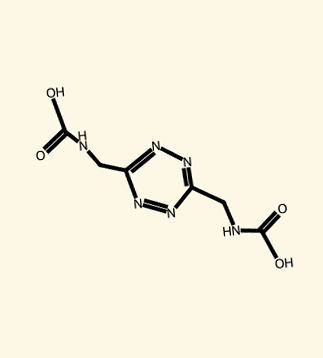 O=C(O)NCc1nnc(CNC(=O)O)nn1